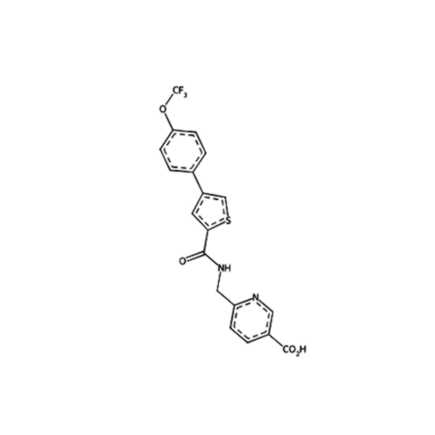 O=C(O)c1ccc(CNC(=O)c2cc(-c3ccc(OC(F)(F)F)cc3)cs2)nc1